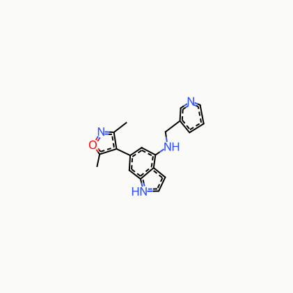 Cc1noc(C)c1-c1cc(NCc2cccnc2)c2cc[nH]c2c1